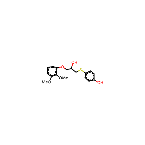 COc1cccc(OCC(O)CSc2ccc(O)cc2)c1OC